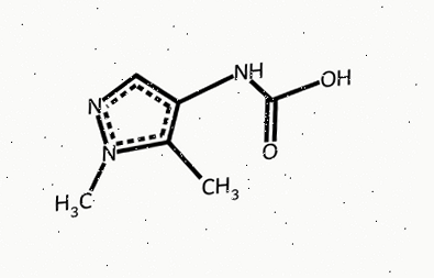 Cc1c(NC(=O)O)cnn1C